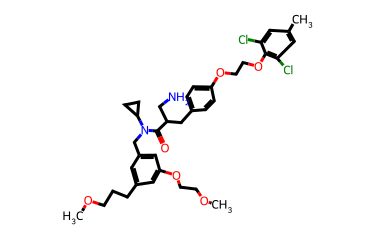 COCCCc1cc(CN(C(=O)C(CN)Cc2ccc(OCCOc3c(Cl)cc(C)cc3Cl)cc2)C2CC2)cc(OCCOC)c1